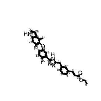 CCOC(=O)/C=C/c1cccc(Cc2nnc(-c3cc(Oc4c(F)cc5[nH]ccc5c4C)ccc3F)[nH]2)c1